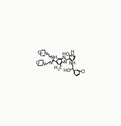 Cc1cc(/C(=N/CCN2CCOCC2)NCCN2CCOCC2)cc2[nH]c(-c3c(NCC(O)c4cccc(Cl)c4)cc[nH]c3=O)nc12